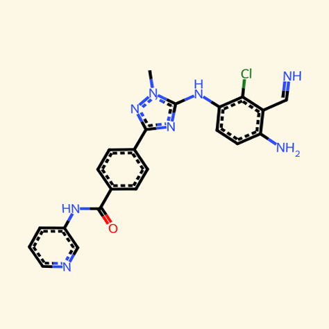 Cn1nc(-c2ccc(C(=O)Nc3cccnc3)cc2)nc1Nc1ccc(N)c(C=N)c1Cl